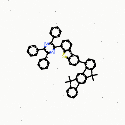 CC1(C)c2ccccc2-c2cc3c(cc21)-c1c(-c2ccc4sc5c(-c6nc(-c7ccccc7)c(-c7ccccc7)nc6-c6ccccc6)cccc5c4c2)cccc1C3(C)C